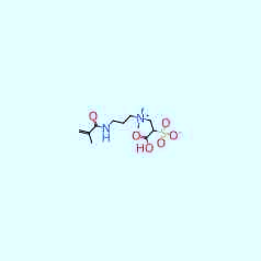 C=C(C)C(=O)NCCC[N+](C)(C)CC(C(=O)O)S(=O)(=O)[O-]